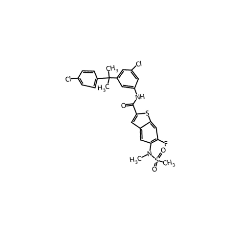 CN(c1cc2cc(C(=O)Nc3cc(Cl)cc(C(C)(C)c4ccc(Cl)cc4)c3)sc2cc1F)S(C)(=O)=O